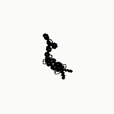 CCCCCCC(CCCCCC)N1C(=O)c2ccc3c4ccc5c6c(ccc(c7ccc(c2c37)C1=O)c64)C(=O)N(Cc1ccc(-c2ccc(C3C[C@@H](c4ccccc4)ON3c3ccccc3)cc2)cc1)C5=O